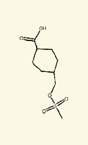 CS(=O)(=O)OCC1CCC(C(=O)O)CC1